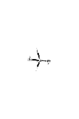 CC(C)[Si](I)(I)C(C)C